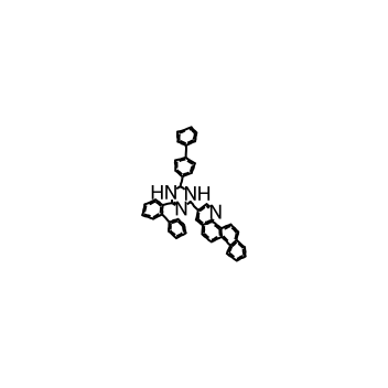 c1ccc(-c2ccc(C3NC(c4ccccc4-c4ccccc4)=NC(c4cnc5c(ccc6c7ccccc7ccc65)c4)N3)cc2)cc1